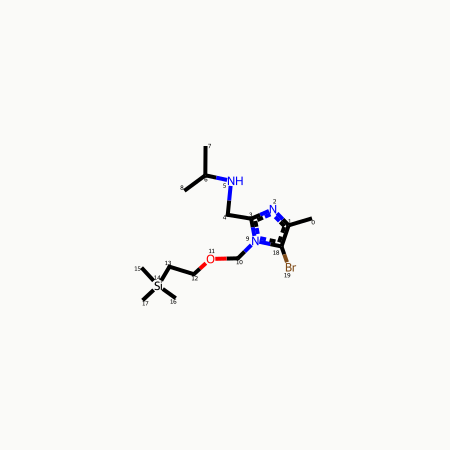 Cc1nc(CNC(C)C)n(COCC[Si](C)(C)C)c1Br